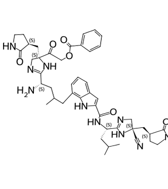 CC(C)C[C@H](NC(=O)c1cc2cccc(CC(C)C[C@H](N)C3=NC[C@@](C[C@@H]4CCNC4=O)(C(=O)COC(=O)c4ccccc4)N3)c2[nH]1)C1=NC[C@](C#N)(C[C@@H]2CCNC2=O)N1